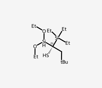 CCO[SiH](OCC)[C@](S)(CC(C)(C)C)[Si](CC)(CC)CC